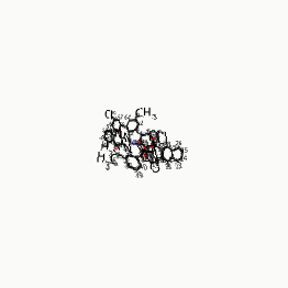 Cc1cc(-c2cc(Cl)cc(Cl)c2)c(N2/C(=C/C=C3C(=O)c4cc5ccccc5cc4C3=O)N(c3c(C(C)C)cccc3C(C)C)c3nc4ccccc4nc32)c(-c2cc(Cl)cc(Cl)c2)c1